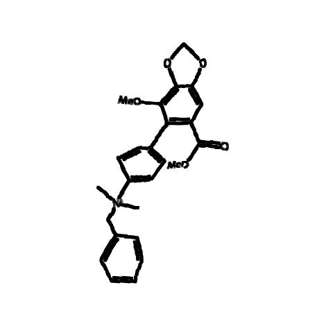 COC(=O)c1cc2c(c(OC)c1-c1ccc([N+](C)(C)Cc3ccccc3)cc1)OCO2